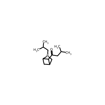 CC(C)CC(=O)C1C2CC1N(CC(C)C)C2